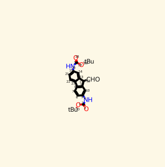 CC(C)(C)OC(=O)Nc1ccc2c(c1)C(C=O)c1cc(NC(=O)OC(C)(C)C)ccc1-2